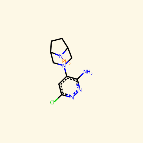 Nc1nnc(Cl)cc1N1CC2CCC(C1)N2P